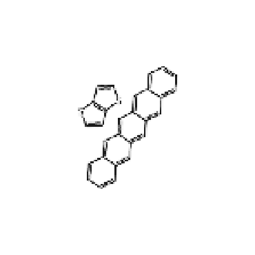 c1cc2sccc2s1.c1ccc2cc3cc4cc5ccccc5cc4cc3cc2c1